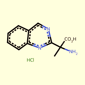 CC(N)(C(=O)O)c1ncc2ccccc2n1.Cl